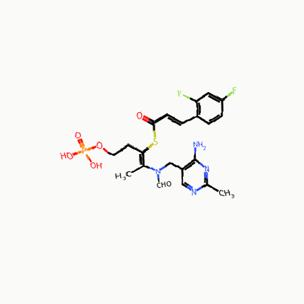 C/C(=C(\CCOP(=O)(O)O)SC(=O)/C=C/c1ccc(F)cc1F)N(C=O)Cc1cnc(C)nc1N